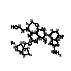 Nc1nc2c(-c3nc4c5c(nc(OC[C@@]67CCCN6C[C@H](F)C7)nc5c3F)N(CCO)CCO4)ccc(F)c2s1